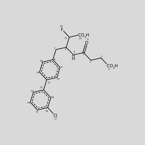 O=C(O)CCC(=O)NC(Cc1ccc(-c2cccc(Cl)c2)cc1)C(F)C(=O)O